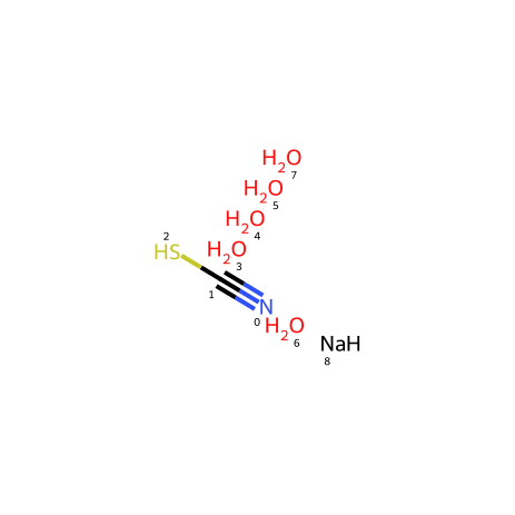 N#CS.O.O.O.O.O.[NaH]